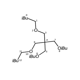 CCC(C)COCC(COCC(C)C)(COCC(C)C)COCC(C)CC